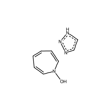 ON1C=CC=CC=C1.c1c[nH]nn1